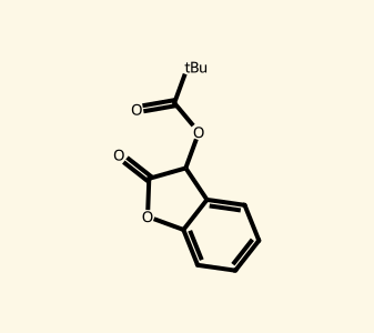 CC(C)(C)C(=O)OC1C(=O)Oc2ccccc21